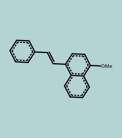 COc1ccc(/C=C/c2ccccc2)c2ccccc12